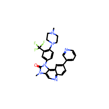 CN1CCN(c2ccc(-n3c(=O)n(C)c4cnc5ccc(-c6cccnc6)cc5c43)cc2C(F)(F)F)CC1